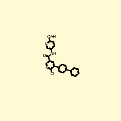 COc1ccc(NC(=O)c2cnc(Cl)c(-c3ccc(-c4ccccc4)cc3)c2)cn1